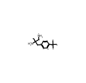 CC(N)(CN)Cc1ccc(C(C)(C)C)cc1